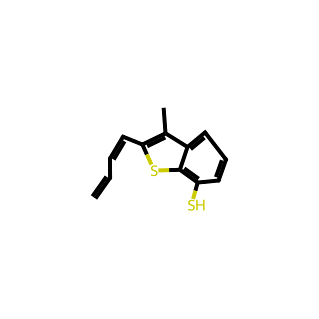 C=C/C=C\c1sc2c(S)cccc2c1C